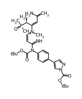 C=C(N)/C=C(\[C@H](C)P(C)(C)=O)N(C)/C=C\C(=N)N(C(=O)OC(C)(C)C)c1ccc(-c2cnn(C(=O)OC(C)(C)C)c2)cc1